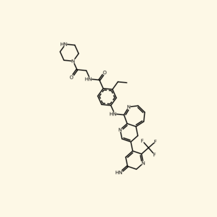 CCc1cc(NC2=NC=CC=C3CC(C4=CC(=N)CN=C4C(F)(F)F)=CN=C32)ccc1C(=O)NCC(=O)N1CCNCC1